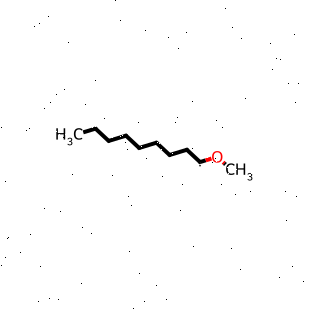 CCCCCCCC[CH]OC